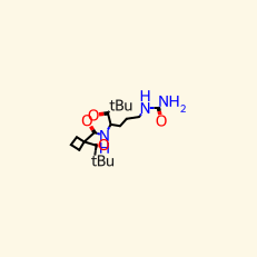 CC(C)(C)C(=O)C(CCCNC(N)=O)NC(=O)C1(C(=O)C(C)(C)C)CCC1